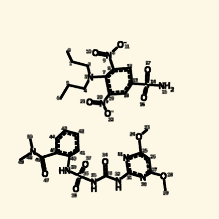 CCCN(CCC)c1c([N+](=O)[O-])cc(S(N)(=O)=O)cc1[N+](=O)[O-].COc1cc(OC)nc(NC(=O)NS(=O)(=O)Nc2ccccc2C(=O)N(C)C)n1